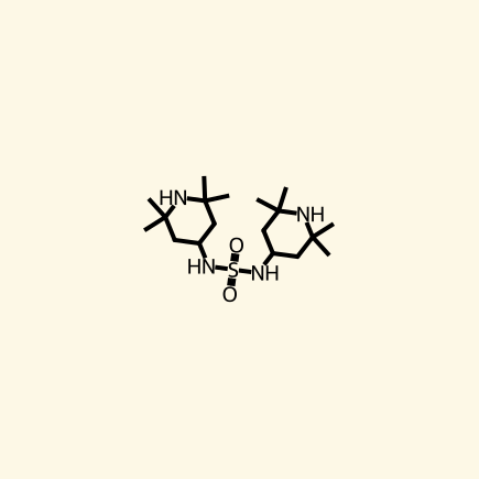 CC1(C)CC(NS(=O)(=O)NC2CC(C)(C)NC(C)(C)C2)CC(C)(C)N1